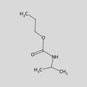 [CH2]CCOC(=O)NC(C)C